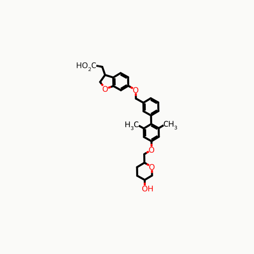 Cc1cc(OCC2CCC(O)CO2)cc(C)c1-c1cccc(COc2ccc3c(c2)OCC3CC(=O)O)c1